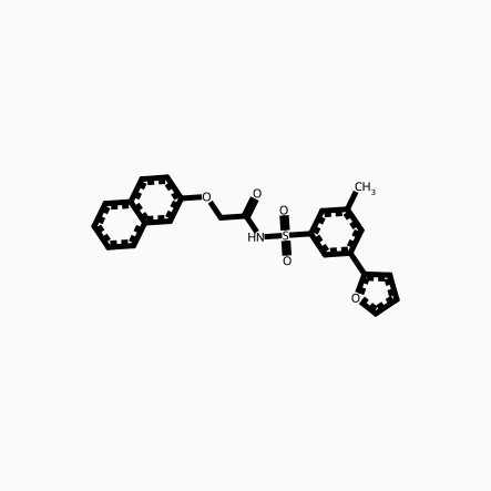 Cc1cc(-c2ccco2)cc(S(=O)(=O)NC(=O)COc2ccc3ccccc3c2)c1